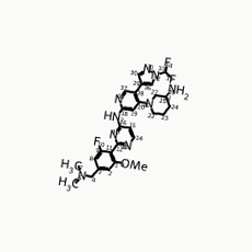 COc1cc(CN(C)C)cc(F)c1-c1nccc(Nc2cc(N3CCC[C@H](N)C3)c(-c3cnn(C(F)F)c3)cn2)n1